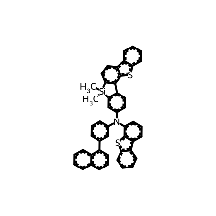 C[Si]1(C)c2cc(N(c3cccc(-c4cccc5ccccc45)c3)c3cccc4c3sc3ccccc34)ccc2-c2c1ccc1c2sc2ccccc21